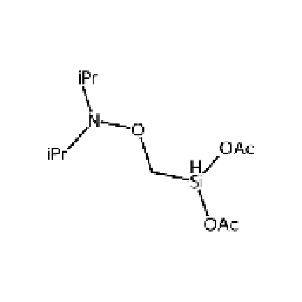 CC(=O)O[SiH](CON(C(C)C)C(C)C)OC(C)=O